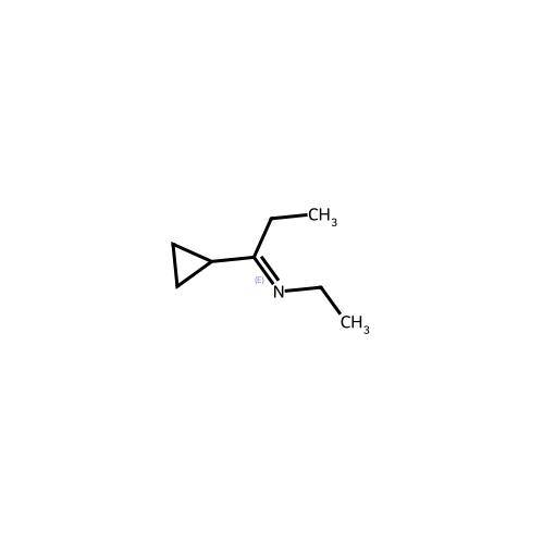 CC/N=C(\CC)C1CC1